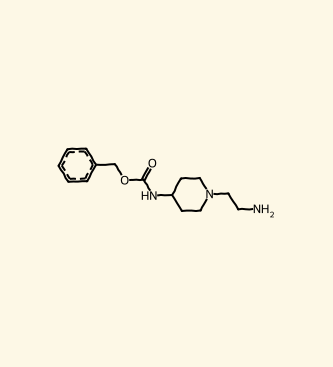 NCCN1CCC(NC(=O)OCc2ccccc2)CC1